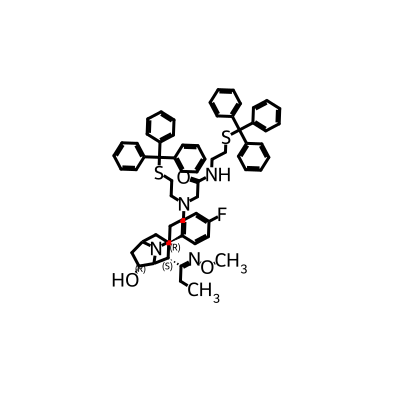 CCC(=NOC)[C@@H]1C2[C@H](O)CC(C[C@H]1c1ccc(F)cc1)N2CCCN(CCSC(c1ccccc1)(c1ccccc1)c1ccccc1)CC(=O)NCCSC(c1ccccc1)(c1ccccc1)c1ccccc1